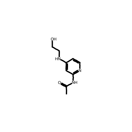 CC(=O)Nc1cc(NCCO)ccn1